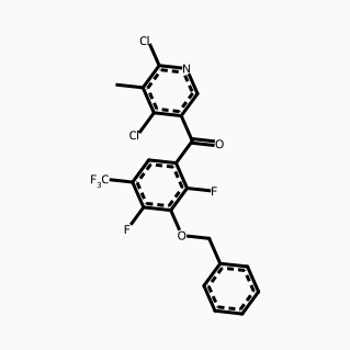 Cc1c(Cl)ncc(C(=O)c2cc(C(F)(F)F)c(F)c(OCc3ccccc3)c2F)c1Cl